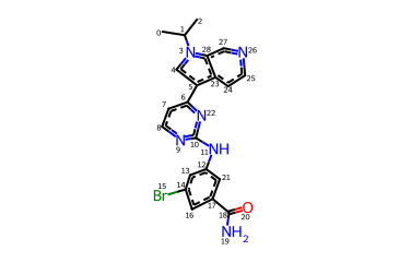 CC(C)n1cc(-c2ccnc(Nc3cc(Br)cc(C(N)=O)c3)n2)c2ccncc21